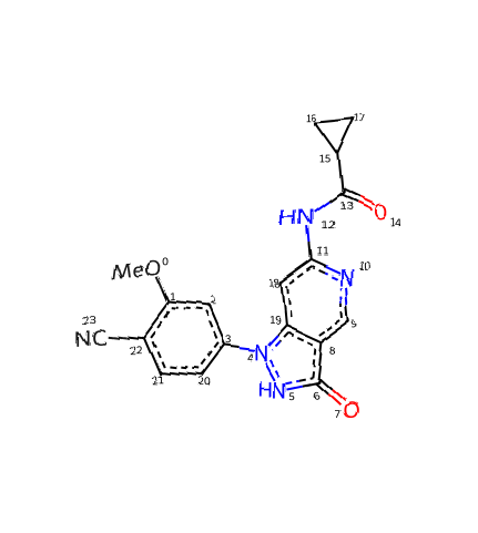 COc1cc(-n2[nH]c(=O)c3cnc(NC(=O)C4CC4)cc32)ccc1C#N